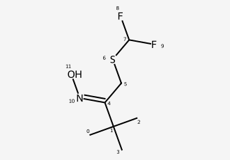 CC(C)(C)C(CSC(F)F)=NO